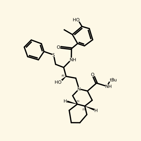 Cc1c(O)cccc1C(=O)NC(CSc1ccccc1)[C@H](O)CN1C[C@H]2CCCC[C@H]2CC1C(=O)NC(C)(C)C